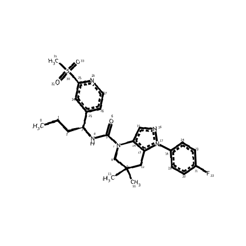 CCC[C@H](NC(=O)N1CC(C)(C)Cc2c1cnn2-c1ccc(F)cc1)c1ccnc(S(C)(=O)=O)c1